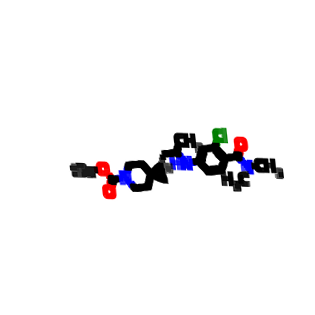 CC(C[C@@H]1CC12CCN(C(=O)OC(C)(C)C)CC2)Nc1ccc(C(=O)N(C)C)c(Cl)c1